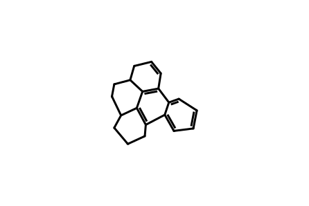 C1=Cc2c3c4c(c5ccccc25)CCCC4CCC3C1